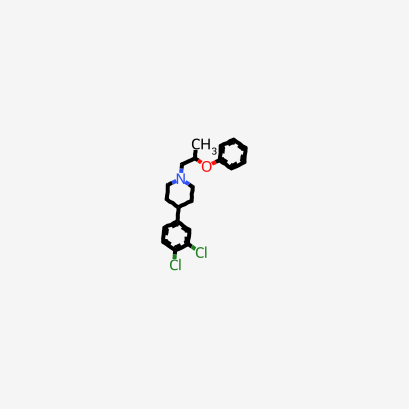 CC(CN1CCC(c2ccc(Cl)c(Cl)c2)CC1)Oc1ccccc1